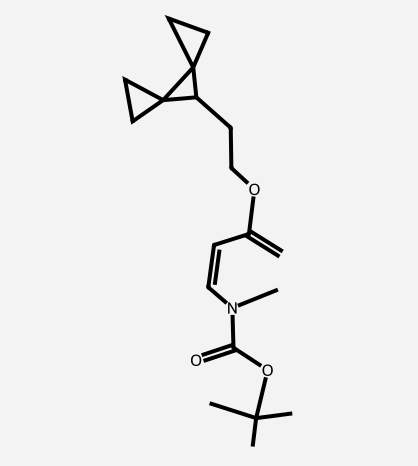 C=C(/C=C\N(C)C(=O)OC(C)(C)C)OCCC1C2(CC2)C12CC2